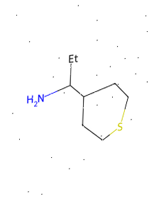 CCC(N)C1CCSCC1